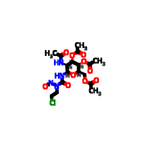 CC(=O)N[C@@H]1[C@@H](OC(C)=O)[C@H](OC(C)=O)[C@@H](COC(C)=O)O[C@H]1NC(=O)N(CCCl)N=O